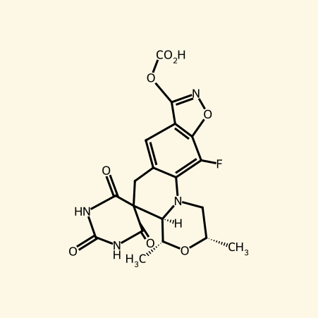 C[C@H]1CN2c3c(cc4c(OC(=O)O)noc4c3F)CC3(C(=O)NC(=O)NC3=O)[C@@H]2[C@@H](C)O1